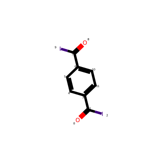 O=C(I)c1ccc(C(=O)I)cc1